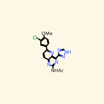 COc1ccc(-c2ccc3nc(NC(C)=O)nc(-c4nc[nH]n4)c3n2)cc1Cl